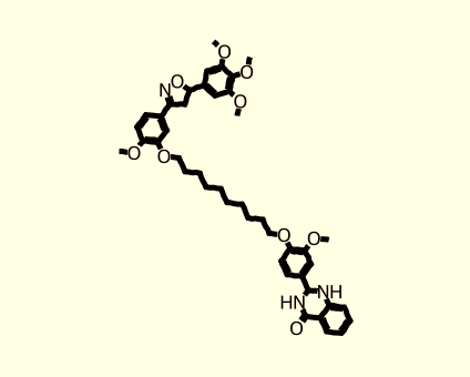 COc1cc(C2NC(=O)c3ccccc3N2)ccc1OCCCCCCCCCCOc1cc(C2=NOC(c3cc(OC)c(OC)c(OC)c3)C2)ccc1OC